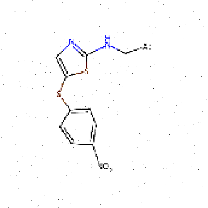 CC(=O)CNc1ncc(Sc2ccc([N+](=O)[O-])cc2)s1